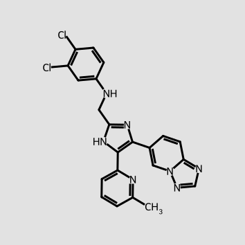 Cc1cccc(-c2[nH]c(CNc3ccc(Cl)c(Cl)c3)nc2-c2ccc3ncnn3c2)n1